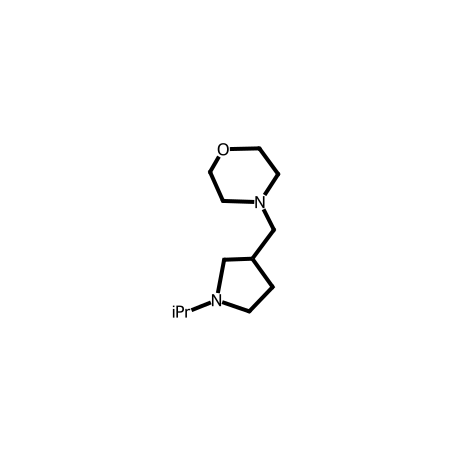 CC(C)N1CCC(CN2CCOCC2)C1